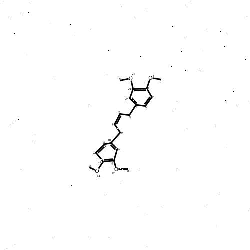 COc1ccc(C/C=C\Cc2ccc(OC)c(OC)c2)cc1OC